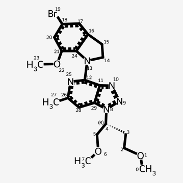 COCC[C@H](COC)n1nnc2c(N3CCc4cc(Br)cc(OC)c43)nc(C)cc21